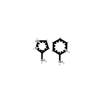 Nc1cc[nH]n1.Nc1ccccn1